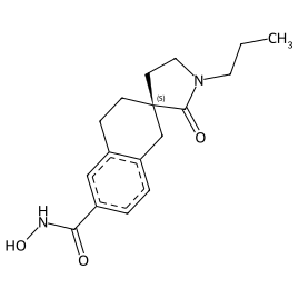 CCCN1CC[C@@]2(CCc3cc(C(=O)NO)ccc3C2)C1=O